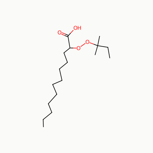 CCCCCCCCCCC(OOC(C)(C)CC)C(=O)O